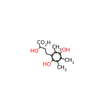 Cc1c(C)c(O)c(CCC(O)C(=O)O)c(C)c1O